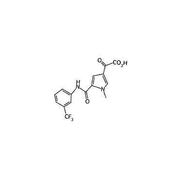 Cn1cc(C(=O)C(=O)O)cc1C(=O)Nc1cccc(C(F)(F)F)c1